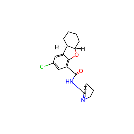 O=C(NC1CN2CCC1CC2)c1cc(Cl)cc2c1O[C@H]1CCCC[C@H]21